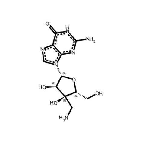 NC[C@@]1(O)[C@@H](CO)O[C@@H](n2cnc3c(=O)[nH]c(N)nc32)[C@@H]1O